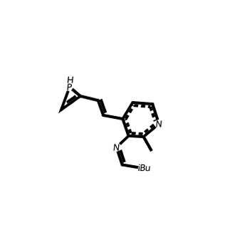 CCC(C)/C=N\c1c(/C=C/C2=CP2)ccnc1C